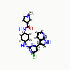 CCN1CCC(C(=O)N[C@H]2CC[C@H](Nc3nc(Cl)cc(-c4c[nH]c5ncccc45)n3)CC2)C1